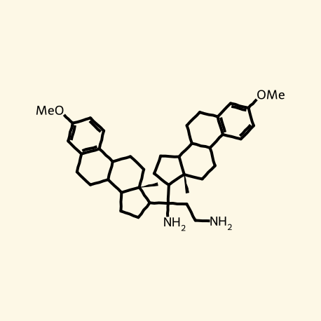 COc1ccc2c(c1)CCC1C2CC[C@@]2(C)C1CCC2C(N)(CCN)C1CCC2C3CCc4cc(OC)ccc4C3CC[C@@]21C